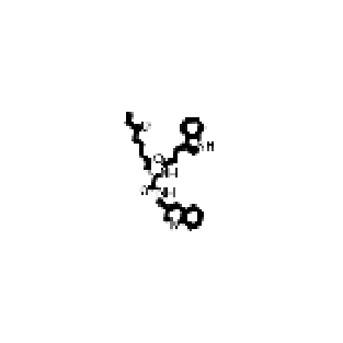 CCC(=O)CCCCC[C@H](NC(=O)CCc1c[nH]c2ccccc12)C(=O)NCc1cnc2ccccc2c1